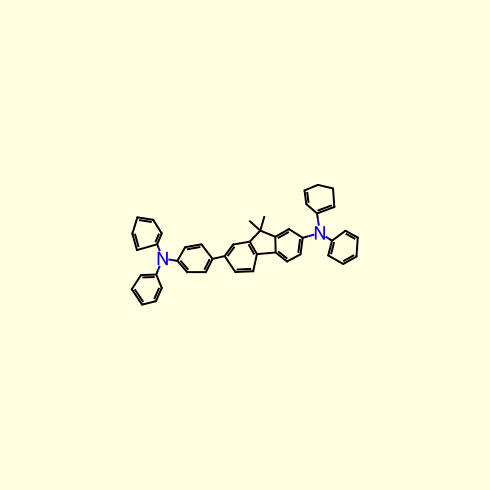 CC1(C)c2cc(-c3ccc(N(c4ccccc4)c4ccccc4)cc3)ccc2-c2ccc(N(C3=CCCC=C3)c3ccccc3)cc21